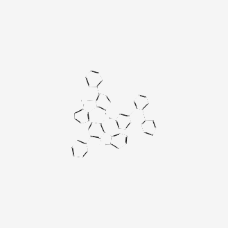 c1ccc(-c2ccccc2-c2cccc(N(c3ccc(-c4ccccc4)c4oc5ccccc5c34)c3ccc(-c4ccccc4)c4oc5ccccc5c34)c2)cc1